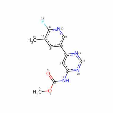 COC(=O)Nc1cc(-c2cnc(F)c(C)c2)ncn1